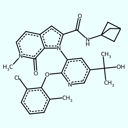 Cc1cccc(Cl)c1Oc1ncc(C(C)(C)O)cc1-n1c(C(=O)NC23CC(C2)C3)cc2ccn(C)c(=O)c21